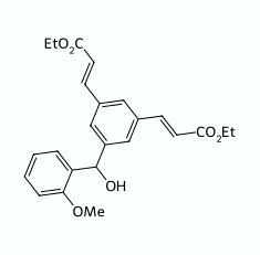 CCOC(=O)C=Cc1cc(C=CC(=O)OCC)cc(C(O)c2ccccc2OC)c1